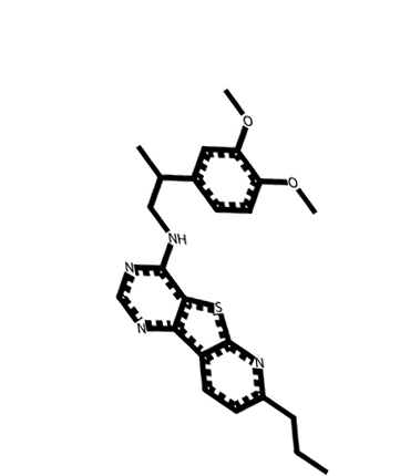 CCCc1ccc2c(n1)sc1c(NCC(C)c3ccc(OC)c(OC)c3)ncnc12